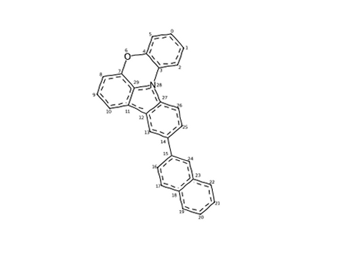 c1ccc2c(c1)Oc1cccc3c4cc(-c5ccc6ccccc6c5)ccc4n-2c13